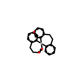 c1ccc2c(c1)CCc1ccccc1[Si]21c2ccccc2CCc2ccccc21